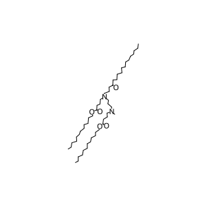 CCCCCCCCCCCCCC(=O)CCCN(CCCC(=O)OCCCCCCCCCCCC)CCCN(C)CCCC(=O)OCCCCCCCCCCCC